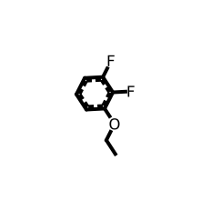 CCOc1cccc(F)c1F